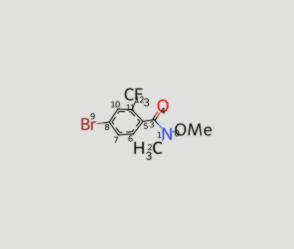 CON(C)C(=O)c1ccc(Br)cc1C(F)(F)F